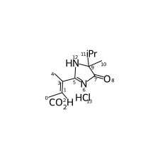 C/C(C(=O)O)=C(\C)C1=NC(=O)C(C)(C(C)C)N1.Cl